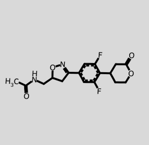 CC(=O)NCC1CC(c2cc(F)c(C3CCOC(=O)C3)c(F)c2)=NO1